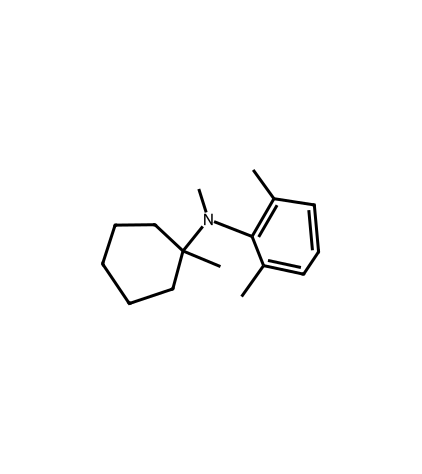 Cc1cccc(C)c1N(C)C1(C)CCCCC1